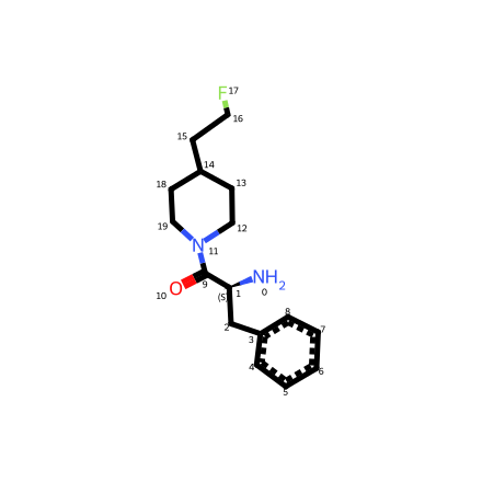 N[C@@H](Cc1ccccc1)C(=O)N1CCC(CCF)CC1